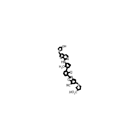 Cc1c(Nc2nccc3cc(CN4CC[C@@H](O)C4)cnc23)cccc1-c1cccc(-c2nc3cc(CN4CC[C@@H](C(=O)O)C4)cc(C#N)c3o2)c1Cl